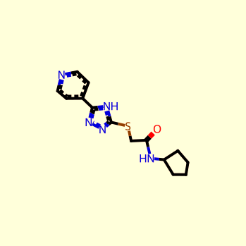 O=C(CSc1nnc(-c2ccncc2)[nH]1)NC1CCCC1